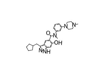 CN1CCN(c2cccc(N(C)C(=O)c3cc4c(CC5CCCC5)n[nH]c4cc3O)c2)CC1